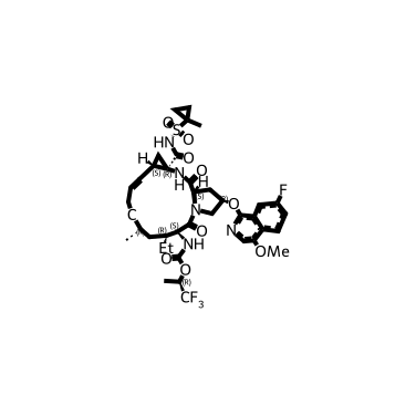 CC[C@@H]1C[C@H](C)CCC=C[C@@H]2C[C@@]2(C(=O)NS(=O)(=O)C2(C)CC2)NC(=O)[C@@H]2C[C@@H](Oc3ncc(OC)c4ccc(F)cc34)CN2C(=O)[C@H]1NC(=O)O[C@H](C)C(F)(F)F